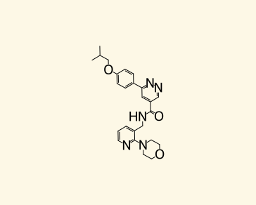 CC(C)COc1ccc(-c2cc(C(=O)NCc3cccnc3N3CCOCC3)cnn2)cc1